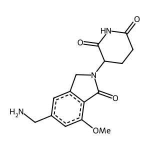 COc1cc(CN)cc2c1C(=O)N(C1CCC(=O)NC1=O)C2